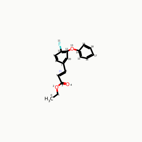 CCOC(=O)/C=C/c1ccc(F)c(Oc2ccccc2)c1